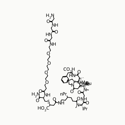 CCCC(CCNC(=O)CC(SCC(NC(=O)CCOCCOCCOCCOCCNC(=O)CNC(=O)CNC(=O)CN)C(N)=O)C(=O)O)CCC(=O)N(C)[C@H](C(=O)NCC(=O)N(C)[C@@H]([C@@H](C)CC)[C@@H](CC(=O)N1CCC[C@H]1[C@H](OC)[C@@H](C)C(=O)N[C@@H](Cc1ccccc1)C(=O)O)OC)C(C)C